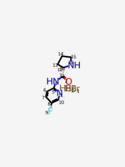 Br.Br.O=C(Nc1ccc(F)cn1)[C@@H]1CCCN1